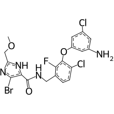 COCc1nc(Br)c(C(=O)NCc2ccc(Cl)c(Oc3cc(N)cc(Cl)c3)c2F)[nH]1